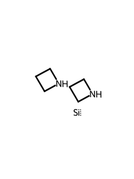 C1CNC1.C1CNC1.[Si]